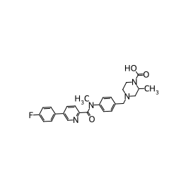 CC1CN(Cc2ccc(N(C)C(=O)c3ccc(-c4ccc(F)cc4)cn3)cc2)CCN1C(=O)O